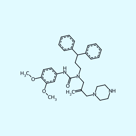 C=C(CN1CCNCC1)CN(CCC(c1ccccc1)c1ccccc1)C(=O)Nc1ccc(OC)c(OC)c1